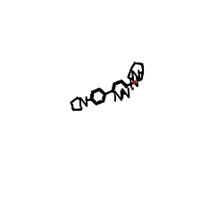 CN1CC2CCC(C1)N2Cc1ccc(-c2ccc(N3CCCC3)cc2)nn1